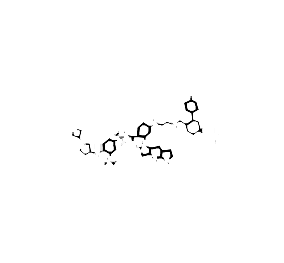 CC1(C)CCC(CNCCNc2ccc(C(=O)NS(=O)(=O)c3ccc(NC4CCN(C5COC5)C4)c([N+](=O)[O-])c3)c(-n3ncc4nc5[nH]ccc5cc43)c2)=C(c2ccc(Cl)cc2)C1